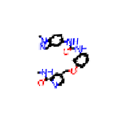 CNC(=O)c1cc(COc2cccc(NC(=O)Nc3ccc4c(cnn4C)c3)c2)ccn1